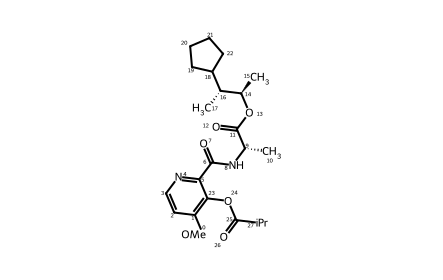 COc1ccnc(C(=O)N[C@@H](C)C(=O)O[C@H](C)[C@H](C)C2CCCC2)c1OC(=O)C(C)C